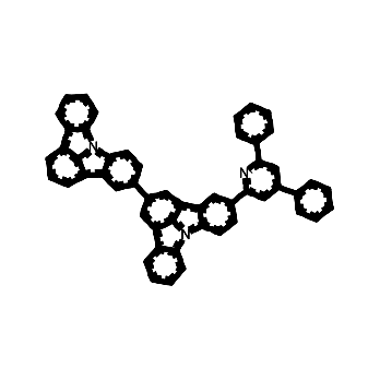 c1ccc(-c2cc(-c3ccccc3)nc(-c3ccc4c(c3)c3cc(-c5ccc6c(c5)c5cccc7c8ccccc8n6c75)cc5c6ccccc6n4c53)c2)cc1